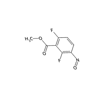 COC(=O)c1c(F)ccc(N=O)c1F